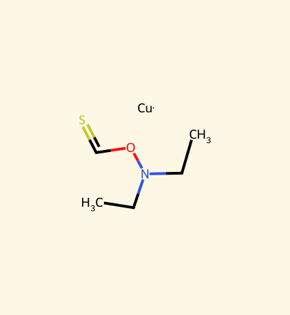 CCN(CC)OC=S.[Cu]